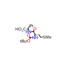 CSCC[C@H](NC(=O)OC(C)(C)C)C(=O)N[C@H](C(=O)O)C(C)C